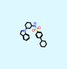 O=S(=O)(NC1CCCC(N2CCc3ccccc32)C1)c1ccc(C2CCCCC2)cc1